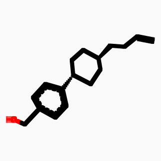 C=CCC[C@H]1CC[C@H](c2ccc(CO)cc2)CC1